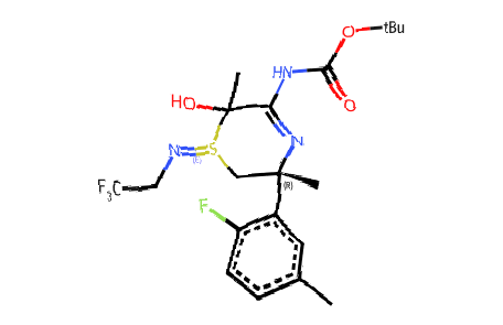 Cc1ccc(F)c([C@]2(C)C/S(=N\CC(F)(F)F)C(C)(O)C(NC(=O)OC(C)(C)C)=N2)c1